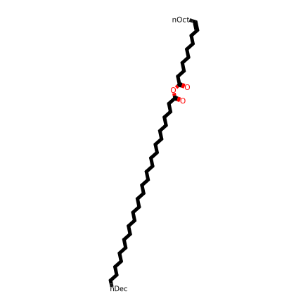 CCCCCCCC/C=C\CCCCCCCC(=O)OC(=O)CCCCCCCCCCCCCCCCCCCCCCCCCCCCCCCCCCCCC